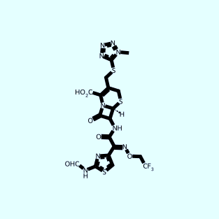 Cn1nnnc1SCC1=C(C(=O)O)N2C(=O)C(NC(=O)C(=NOCC(F)(F)F)c3csc(NC=O)n3)[C@@H]2SC1